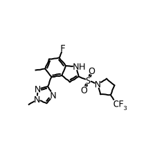 Cc1cc(F)c2[nH]c(S(=O)(=O)N3CCC(C(F)(F)F)C3)cc2c1-c1ncn(C)n1